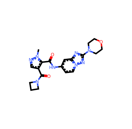 Cn1ncc(C(=O)N2CCC2)c1C(=O)Nc1ccn2nc(N3CCOCC3)nc2c1